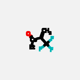 C=[C]([Co](=[O])[CH2]C)C(F)(F)F